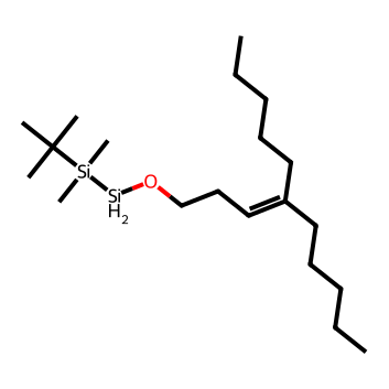 CCCCCC(=CCCO[SiH2][Si](C)(C)C(C)(C)C)CCCCC